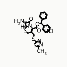 Cc1nnc(SCC2=C(C(=O)OC(c3ccccc3)c3ccccc3)N3C(=O)[C@@H](N)[C@@H]3SC2)s1.Cl